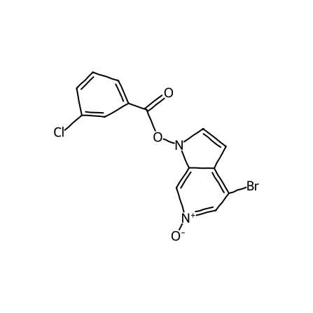 O=C(On1ccc2c(Br)c[n+]([O-])cc21)c1cccc(Cl)c1